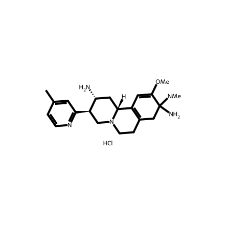 CNC1(N)CC2=C(C=C1OC)[C@H]1C[C@@H](N)[C@H](c3cc(C)ccn3)CN1CC2.Cl